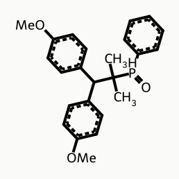 COc1ccc(C(c2ccc(OC)cc2)C(C)(C)[PH](=O)c2ccccc2)cc1